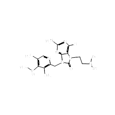 CBc1c(C)cnc(Cn2c(=O)n(CCN(C(C)C)C(C)C)c3c(Cl)nc(N)nc32)c1C